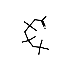 CC(=O)CC(C)(C)CC(C)(C)CC(C)(C)C